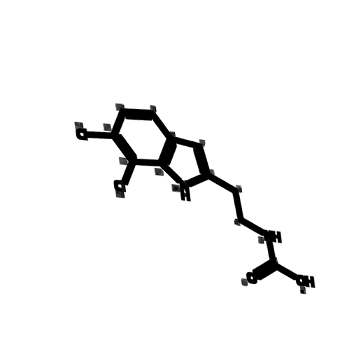 O=C(O)NCCc1cc2ccc(Cl)c(Cl)c2[nH]1